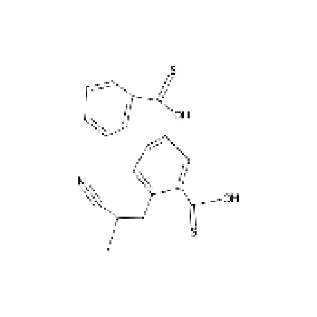 CC(C#N)Cc1ccccc1C(O)=S.OC(=S)c1ccccc1